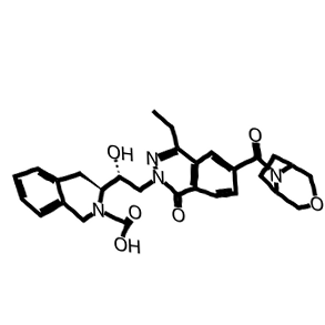 CCc1nn(C[C@@H](O)[C@@H]2Cc3ccccc3CN2C(=O)O)c(=O)c2ccc(C(=O)N3C4CCC3COC4)cc12